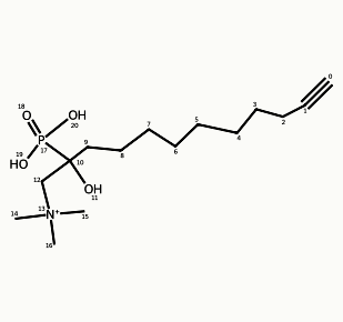 C#CCCCCCCCCC(O)(C[N+](C)(C)C)P(=O)(O)O